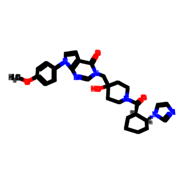 COc1ccc(-n2ccc3c(=O)n(CC4(O)CCN(C(=O)[C@@H]5CCCC[C@H]5n5ccnc5)CC4)cnc32)cc1